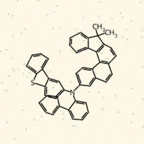 CC1(C)c2ccccc2-c2c1ccc1ccc3cc(N(c4ccc5sc6ccccc6c5c4)c4ccccc4-c4ccccc4)ccc3c21